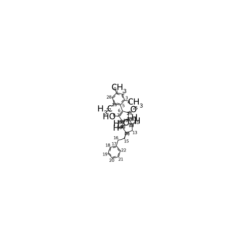 Cc1cc(C)c(C2=C(O)[C@@H]3[C@@H]4O[C@@H](C[C@H]4CCc4ccccc4)[C@@H]3C2=O)c(C)c1